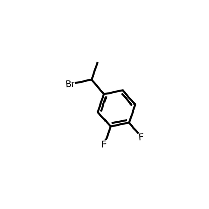 CC(Br)c1ccc(F)c(F)c1